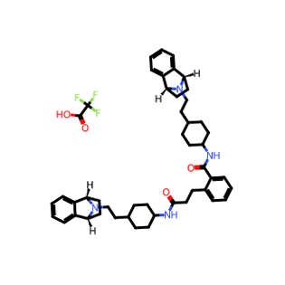 O=C(CCc1ccccc1C(=O)NC1CCC(CCN2[C@@H]3CC[C@H]2c2ccccc23)CC1)NC1CCC(CCN2[C@@H]3CC[C@H]2c2ccccc23)CC1.O=C(O)C(F)(F)F